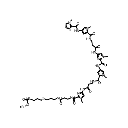 Cn1cc(NC(=O)c2nc(NC(=O)CCNC(=O)c3cc(NC(=O)c4nccn4C)cn3C)cn2C)cc1C(=O)NCCC(=O)Nc1cn(C)c(C(=O)NCCC(=O)NCCCOCCCNC(=O)OC(C)(C)C)n1